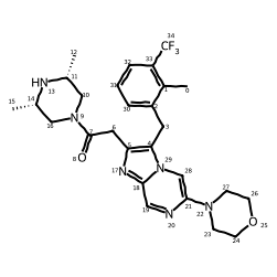 Cc1c(Cc2c(CC(=O)N3C[C@@H](C)N[C@@H](C)C3)nc3cnc(N4CCOCC4)cn23)cccc1C(F)(F)F